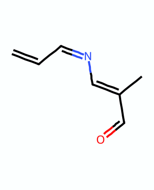 C=C/C=N\C=C(/C)C=O